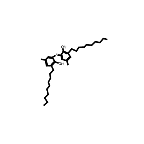 CCCCCCCCCCc1cc(C)cc(Sc2cc(C)cc(CCCCCCCCCC)c2O)c1O